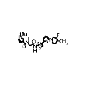 C[C@@H]1CCN(c2cccc(-c3csc(NC(=O)CNC(=O)c4ccn(C(C)(C)C)c4)n3)n2)C[C@H]1F